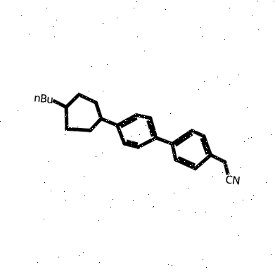 CCCCC1CCC(c2ccc(-c3ccc(CC#N)cc3)cc2)CC1